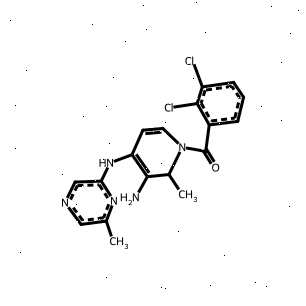 Cc1cncc(NC2=C(N)C(C)N(C(=O)c3cccc(Cl)c3Cl)C=C2)n1